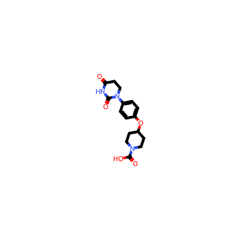 O=C1CCN(c2ccc(OC3CCN(C(=O)O)CC3)cc2)C(=O)N1